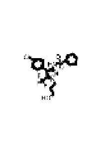 O=S(=O)(Nc1nn(CCCO)c(C(F)(F)F)c1-c1ccc(Cl)cc1)c1ccccc1